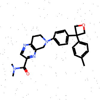 Cc1ccc(C2(c3ccc(N4CCc5ncc(C(=O)N(C)C)nc5C4)cc3)COC2)cc1